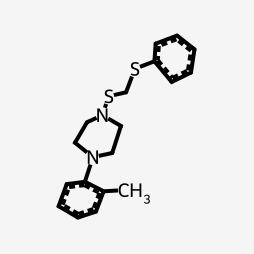 Cc1ccccc1N1CCN(SCSc2ccccc2)CC1